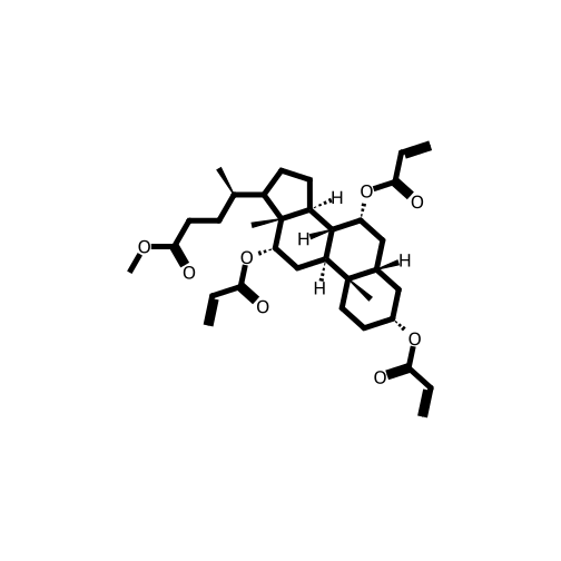 C=CC(=O)O[C@@H]1CC[C@@]2(C)[C@@H](C1)C[C@@H](OC(=O)C=C)[C@@H]1[C@@H]2C[C@H](OC(=O)C=C)[C@]2(C)C([C@H](C)CCC(=O)OC)CC[C@@H]12